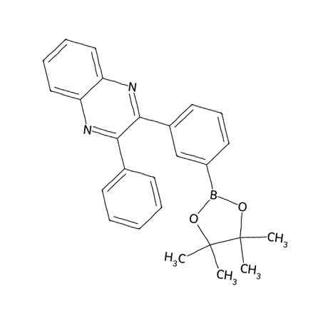 CC1(C)OB(c2cccc(-c3nc4ccccc4nc3-c3ccccc3)c2)OC1(C)C